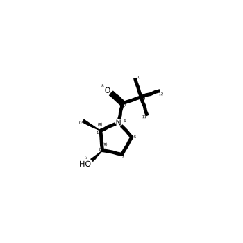 C[C@@H]1[C@H](O)CCN1C(=O)C(C)(C)C